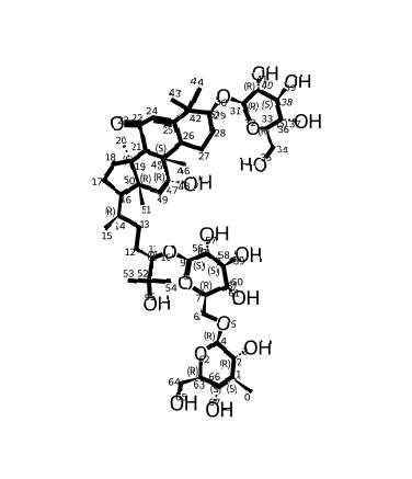 C[C@@H]1[C@@H](O)[C@H](OC[C@H]2O[C@@H](O[C@H](CC[C@@H](C)C3CC[C@@]4(C)C5C(=O)C=C6C(CC[C@H](O[C@@H]7O[C@H](CO)[C@@H](O)[C@H](O)[C@H]7O)C6(C)C)[C@]5(C)[C@H](O)C[C@]34C)C(C)(C)O)[C@H](O)[C@@H](O)[C@@H]2O)O[C@H](CO)[C@H]1O